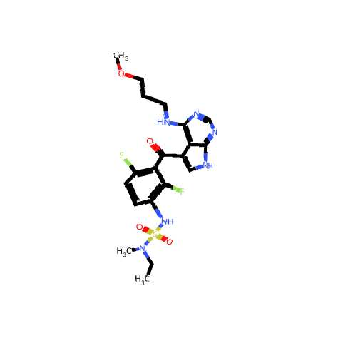 CCN(C)S(=O)(=O)Nc1ccc(F)c(C(=O)c2c[nH]c3ncnc(NCCCOC)c23)c1F